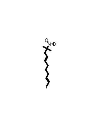 CC(C)(CC=CCCCC=CI)[N+](=O)[O-]